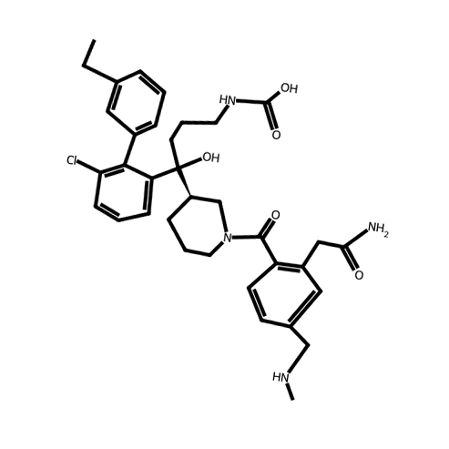 CCc1cccc(-c2c(Cl)cccc2C(O)(CCCNC(=O)O)[C@@H]2CCCN(C(=O)c3ccc(CNC)cc3CC(N)=O)C2)c1